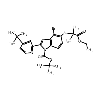 CCOC(=O)C(C)(C)Sc1ccc2c(cc(-c3cc(C(C)(C)C)ccn3)n2C(=O)OC(C)(C)C)c1Br